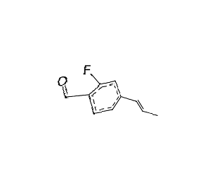 C/C=C/c1ccc(C=O)c(F)c1